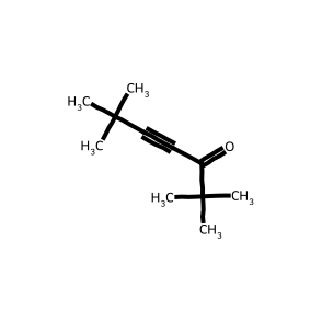 CC(C)(C)C#CC(=O)C(C)(C)C